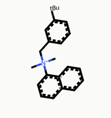 CC(C)(C)c1cccc(C[N+](C)(C)c2cccc3ccccc23)c1